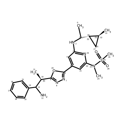 CC(Nc1cc(-c2nnc([C@H](C)C(N)c3ccccc3)o2)cc(N(C)S(C)(=O)=O)n1)[C@H]1C[C@@H]1C